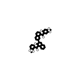 O=c1c2cc3c(cc2oc2ccc4ccc(-c5cc6ccccc6c6c(=O)c7c8c(ccc7oc56)OCO8)cc4c12)OCO3